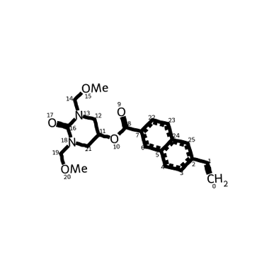 C=Cc1ccc2cc(C(=O)OC3CN(COC)C(=O)N(COC)C3)ccc2c1